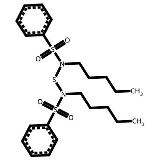 CCCCCN(SN(CCCCC)S(=O)(=O)c1ccccc1)S(=O)(=O)c1ccccc1